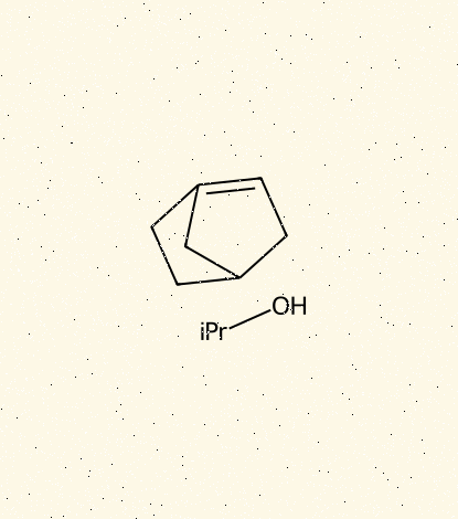 C1=C2CCC(C1)C2.CC(C)O